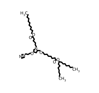 CCCCCCCCCCCOC(=O)CCCCCN1CC(OCCCn2ccnc2)CC1COCCCCCCCC(=O)OC(CCCCCCCC)CCCCCCCC